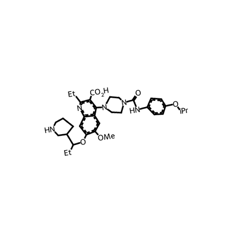 CCc1nc2cc(OC(CC)C3CCCNC3)c(OC)cc2c(N2CCN(C(=O)Nc3ccc(OC(C)C)cc3)CC2)c1C(=O)O